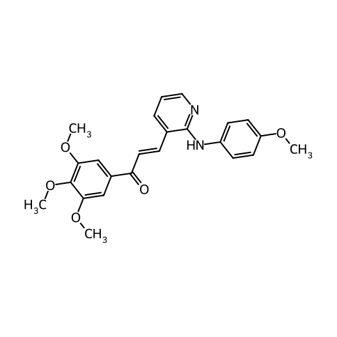 COc1ccc(Nc2ncccc2/C=C/C(=O)c2cc(OC)c(OC)c(OC)c2)cc1